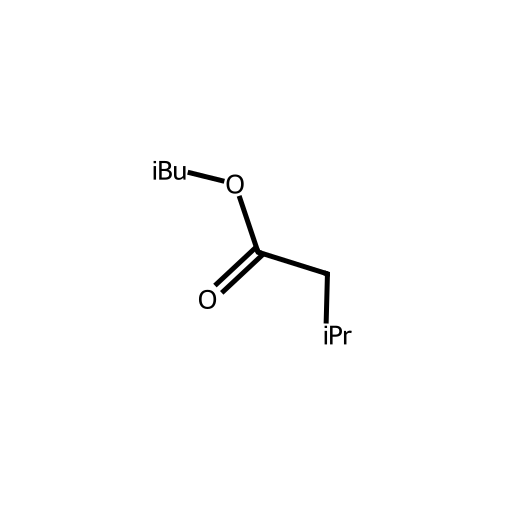 CCC(C)OC(=O)CC(C)C